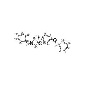 c1ccc(COc2ccc3c(c2)OC2(C3)CN(Cc3ccccc3)C2)cc1